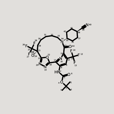 CC(C)(C)OC(=O)Nc1cc(C(F)(F)F)c2nc1-c1nnc(o1)[C@@](O)(C(F)(F)F)CCCCCN([C@H]1CC[C@H](C#N)CC1)C2=O